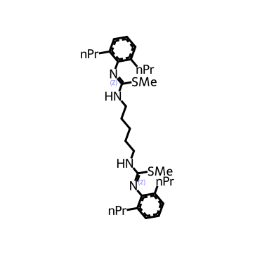 CCCc1cccc(CCC)c1/N=C(/NCCCCCN/C(=N/c1c(CCC)cccc1CCC)SC)SC